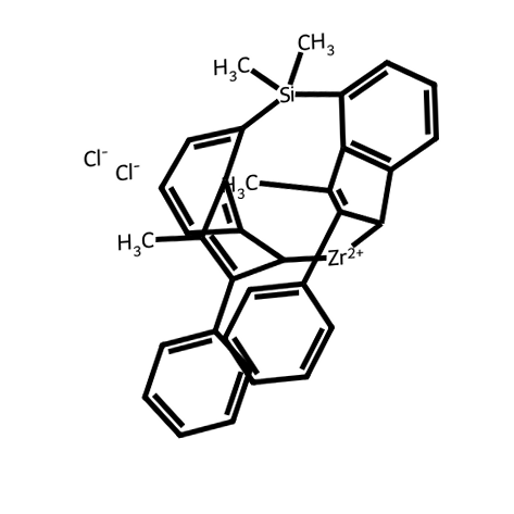 CC1=C(c2ccccc2)[CH]2[Zr+2][CH]3C(c4ccccc4)=C(C)c4c3cccc4[Si](C)(C)c3cccc2c31.[Cl-].[Cl-]